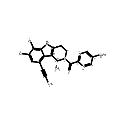 CC#Cc1cc(Cl)c(Cl)c2[nH]c3c(c12)[C@@H](C)N(C(=O)c1ncc(OC)cn1)CC3